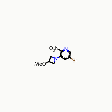 COC1CN(c2cc(Br)cnc2[N+](=O)[O-])C1